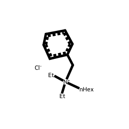 CCCCCC[N+](CC)(CC)Cc1ccccc1.[Cl-]